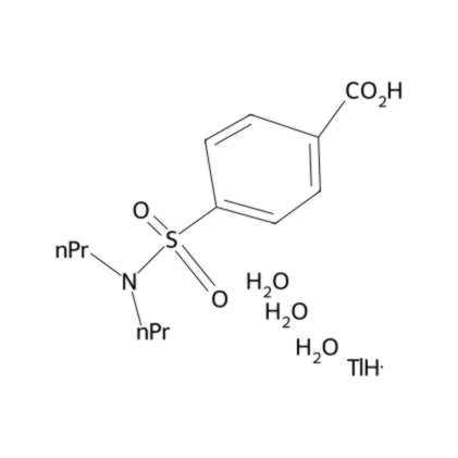 CCCN(CCC)S(=O)(=O)c1ccc(C(=O)O)cc1.O.O.O.[TlH]